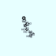 CCOP(=O)(CP(=O)(O)O)OC[C@H]1O[C@@H](n2nnc3c(NCc4ccccc4Cl)nc(Cl)nc32)[C@H](O)[C@@H]1O